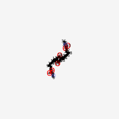 C/C=C/C(=O)OCCC(C)CCCC(C)(C)C1=CC(=O)C(C(C)(C)CCCC(C)CCOC(=O)/C=C/C)=CC1=O